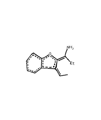 C/C=c1\c(=C(\N)CC)oc2ccccc12